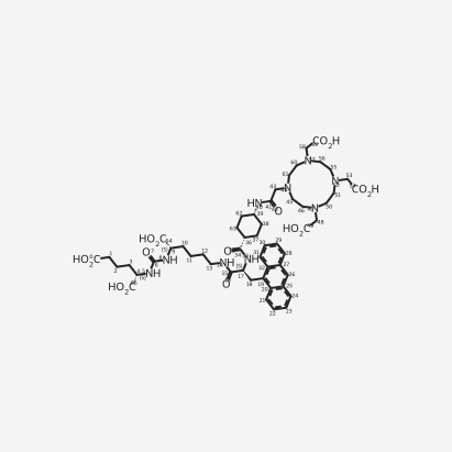 O=C(O)CCC[C@H](NC(=O)N[C@@H](CCCCNC(=O)[C@H](Cc1c2ccccc2cc2ccccc12)NC(=O)[C@H]1CC[C@@H](NC(=O)CN2CCN(CC(=O)O)CCN(CC(=O)O)CCN(CC(=O)O)CC2)CC1)C(=O)O)C(=O)O